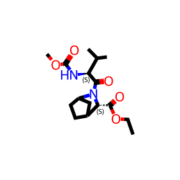 CCOC(=O)[C@@H]1C2CCC(C2)N1C(=O)[C@@H](NC(=O)OC)C(C)C